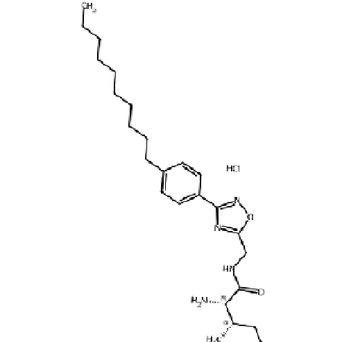 CCCCCCCCCCc1ccc(-c2noc(CNC(=O)[C@@H](N)[C@@H](C)CC)n2)cc1.Cl